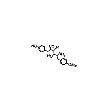 COc1ccc(CC(N)C(O)CC(Cc2ccc(O)cc2)C(=O)O)cc1